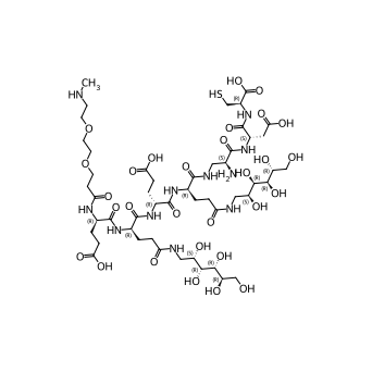 CNCCOCCOCCC(=O)N[C@H](CCC(=O)O)C(=O)N[C@H](CCC(=O)NC[C@H](O)[C@@H](O)[C@H](O)[C@H](O)CO)C(=O)N[C@H](CCC(=O)O)C(=O)N[C@H](CCC(=O)NC[C@H](O)[C@@H](O)[C@H](O)[C@H](O)CO)C(=O)NC[C@H](N)C(=O)N[C@@H](CC(=O)O)C(=O)N[C@@H](CS)C(=O)O